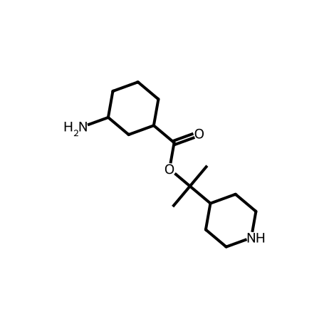 CC(C)(OC(=O)C1CCCC(N)C1)C1CCNCC1